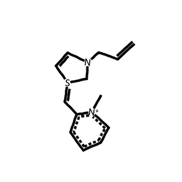 C=CCN1C=CS(=Cc2cccc[n+]2C)C1